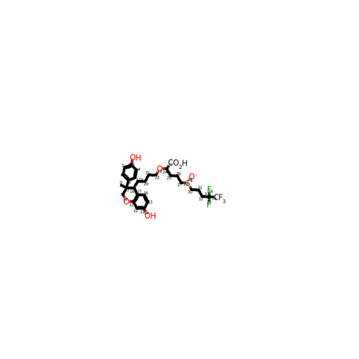 CC1(c2ccc(O)cc2)COc2cc(O)ccc2C1CCCCOC(CCC[S+]([O-])CCCC(F)(F)C(F)(F)F)C(=O)O